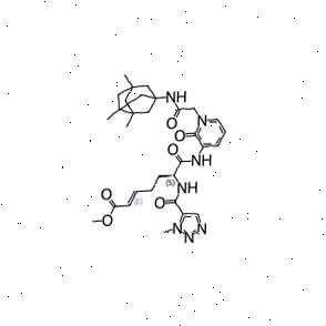 COC(=O)/C=C/CC[C@H](NC(=O)c1cnnn1C)C(=O)Nc1cccn(CC(=O)NC23CC4(C)CC(C)(C2)C(C)(C4)C3)c1=O